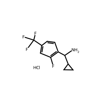 Cl.NC(c1ccc(C(F)(F)F)cc1F)C1CC1